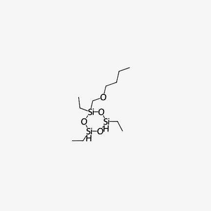 CCCCOC[Si]1(CC)O[SiH](CC)O[SiH](CC)O1